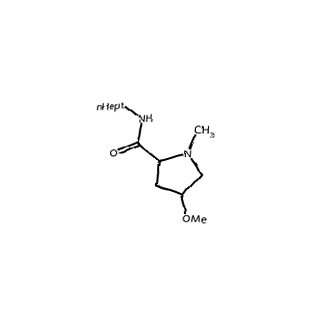 CCCCCCCNC(=O)C1CC(OC)CN1C